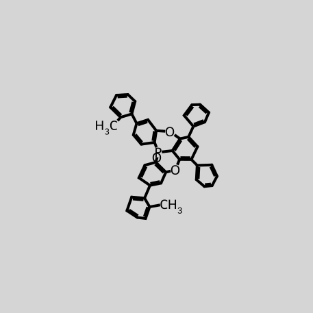 Cc1ccccc1-c1ccc2c(c1)Oc1c(-c3ccccc3)cc(-c3ccccc3)c3c1P2(=O)c1ccc(-c2ccccc2C)cc1O3